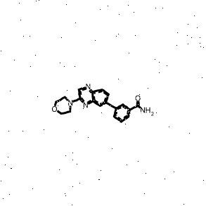 NC(=O)c1cccc(-c2ccc3ncc(N4CCOCC4)nc3c2)c1